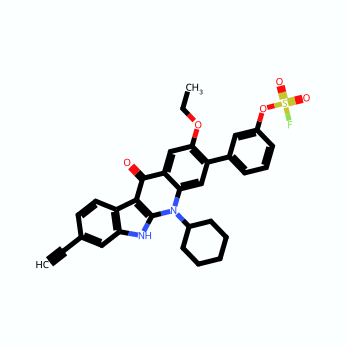 C#Cc1ccc2c(c1)[nH]c1c2c(=O)c2cc(OCC)c(-c3cccc(OS(=O)(=O)F)c3)cc2n1C1CCCCC1